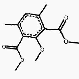 COC(=O)c1c(C)cc(C)c(C(=O)OC)c1OC